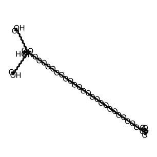 O=C(O)CCCCCCCCCCCCCC(CCCCCCCCCCCCCC(=O)O)(C(=O)O)C(=O)NCCOCCOCCOCCOCCOCCOCCOCCOCCOCCOCCOCCOCCOCCOCCOCCOCCOCCOCCOCCOCCOCCOCCOCCOCCC(=O)ON1C(=O)CCC1=O